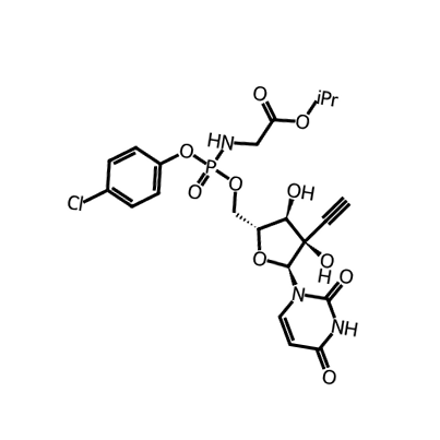 C#C[C@@]1(O)[C@H](O)[C@@H](COP(=O)(NCC(=O)OC(C)C)Oc2ccc(Cl)cc2)O[C@@H]1n1ccc(=O)[nH]c1=O